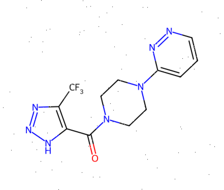 O=C(c1[nH]nnc1C(F)(F)F)N1CCN(c2cccnn2)CC1